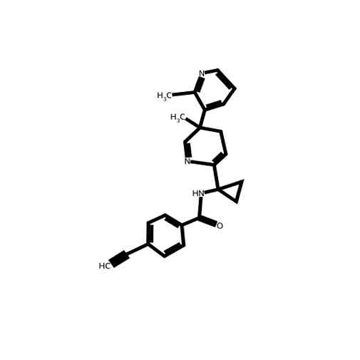 C#Cc1ccc(C(=O)NC2(C3=CCC(C)(c4cccnc4C)C=N3)CC2)cc1